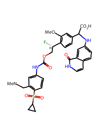 CNCc1cc(NC(=O)OC[C@H](F)c2ccc(C(Nc3ccc4cc[nH]c(=O)c4c3)C(=O)O)cc2OC)ccc1S(=O)(=O)C1CC1